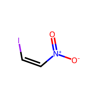 O=[N+]([O-])/C=C\I